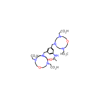 CB(O)Nc1cc(CN2CCN(CC(=O)O)CCOCCN(CC(=O)O)CC2)cc(CN2CCN(CC(=O)O)CCOCCN(CC(=O)O)CC2)c1